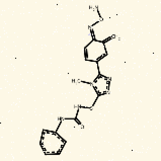 C=C1C=C(c2nnc(SNC(=O)Nc3ccccc3)n2C)C=C/C1=N/ON